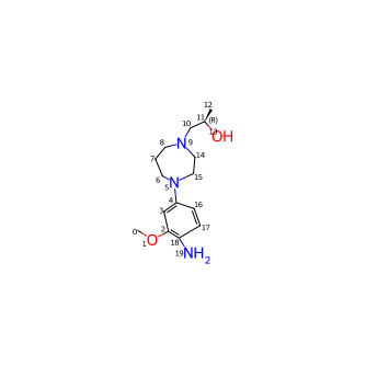 COc1cc(N2CCCN(C[C@@H](C)O)CC2)ccc1N